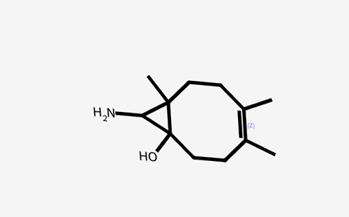 C/C1=C(\C)CCC2(O)C(N)C2(C)CC1